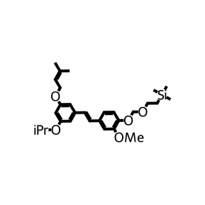 COc1cc(C=Cc2cc(OCC=C(C)C)cc(OC(C)C)c2)ccc1OCOCC[Si](C)(C)C